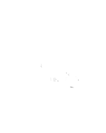 c1cc(NC2CCCNC2)ncn1